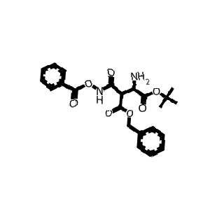 CC(C)(C)OC(=O)C(N)C(C(=O)NOC(=O)c1ccccc1)C(=O)OCc1ccccc1